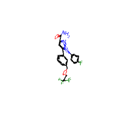 NC(=O)c1cc(-c2cccc(COCC(F)(F)F)c2)n(-c2ccc(F)cc2)n1